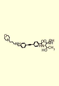 C[C@@H](O)[C@H](NC(=O)c1ccc(C#Cc2ccc(CNCCCN3CCOCC3)cc2)cc1)C(=O)NO